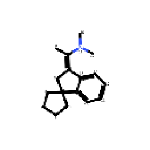 C/C(=C1\CC2(CCCC2)c2ccccc21)N(C)C